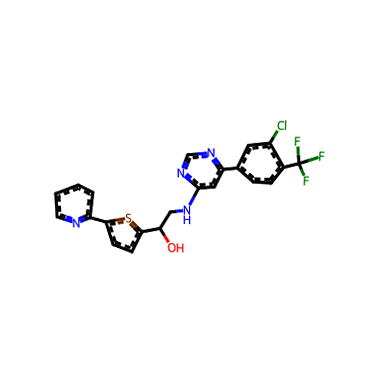 OC(CNc1cc(-c2ccc(C(F)(F)F)c(Cl)c2)ncn1)c1ccc(-c2ccccn2)s1